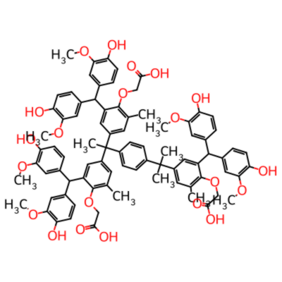 COc1cc(C(c2ccc(O)c(OC)c2)c2cc(C(C)(C)c3ccc(C(C)(c4cc(C)c(OCC(=O)O)c(C(c5ccc(O)c(OC)c5)c5ccc(O)c(OC)c5)c4)c4cc(C)c(OCC(=O)O)c(C(c5ccc(O)c(OC)c5)c5ccc(O)c(OC)c5)c4)cc3)cc(C)c2OCC(=O)O)ccc1O